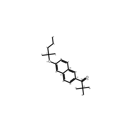 CCCC(C)(C)Oc1ccc2cc(C(=O)C(C)(C)C)ccc2c1